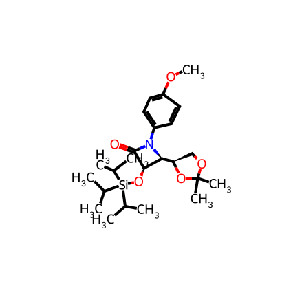 COc1ccc(N2C(=O)[C@H](O[Si](C(C)C)(C(C)C)C(C)C)[C@@H]2[C@H]2COC(C)(C)O2)cc1